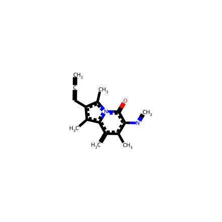 C=C=Cc1c(C)c2c(=C)c(C)c(N=C)c(=O)n2c1C